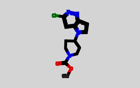 CC(C)(C)OC(=O)N1CCC(n2ccc3nnc(Cl)cc32)CC1